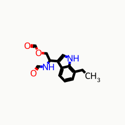 CCc1cccc2c(C(COC=O)NC=O)c[nH]c12